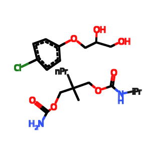 CCCC(C)(COC(N)=O)COC(=O)NC(C)C.OCC(O)COc1ccc(Cl)cc1